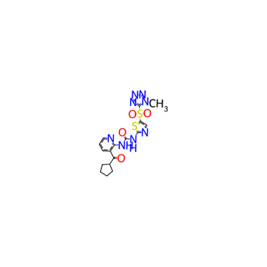 Cn1nnnc1S(=O)(=O)c1cnc(NC(=O)Nc2ncccc2C(=O)C2CCCC2)s1